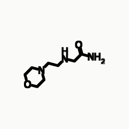 NC(=O)CNCCN1CCOCC1